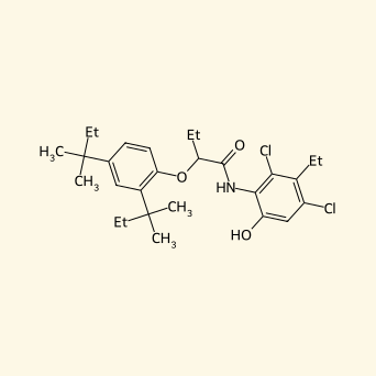 CCc1c(Cl)cc(O)c(NC(=O)C(CC)Oc2ccc(C(C)(C)CC)cc2C(C)(C)CC)c1Cl